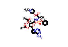 CC(C)C(=O)O[C@H]1[C@H](c2ccc3c(N)ncnn23)O[C@](C)(COP(=O)(N[C@@H](C)C(=O)O[C@H]2CCN(C)C2)Oc2ccccc2)[C@H]1OC(=O)C(C)C